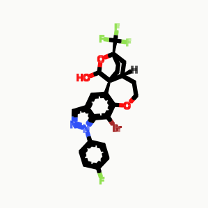 OC1O[C@@]2(C(F)(F)F)CC[C@@]13c1cc4cnn(-c5ccc(F)cc5)c4c(Br)c1OCC[C@H]3C2